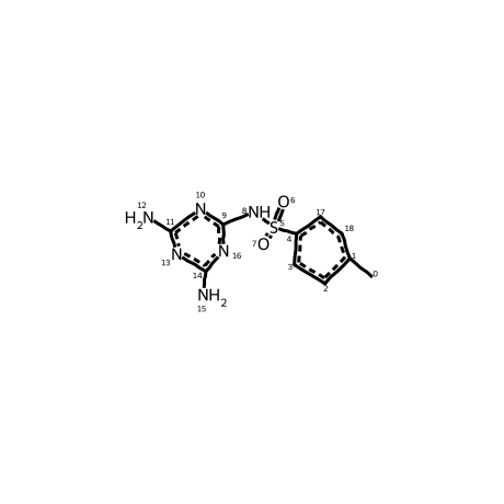 Cc1ccc(S(=O)(=O)Nc2nc(N)nc(N)n2)cc1